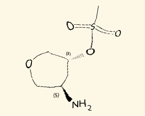 CS(=O)(=O)O[C@H]1COC[C@@H]1N